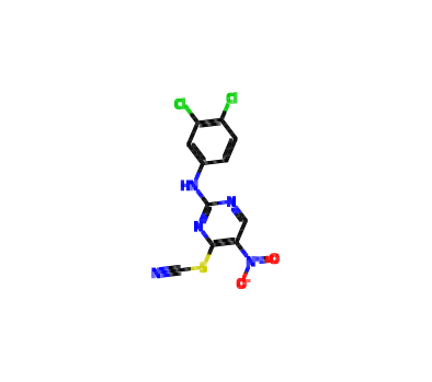 N#CSc1nc(Nc2ccc(Cl)c(Cl)c2)ncc1[N+](=O)[O-]